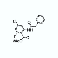 COC(=O)c1c(I)cc(Cl)cc1NC(=O)Cc1ccccc1